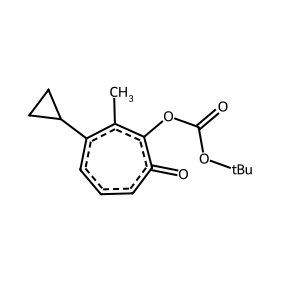 Cc1c(C2CC2)cccc(=O)c1OC(=O)OC(C)(C)C